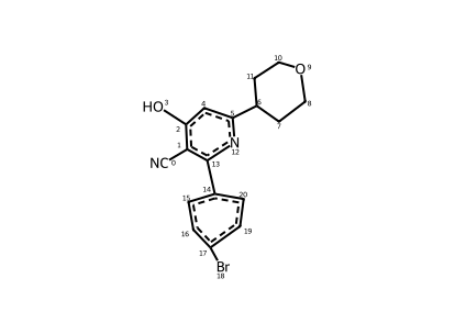 N#Cc1c(O)cc(C2CCOCC2)nc1-c1ccc(Br)cc1